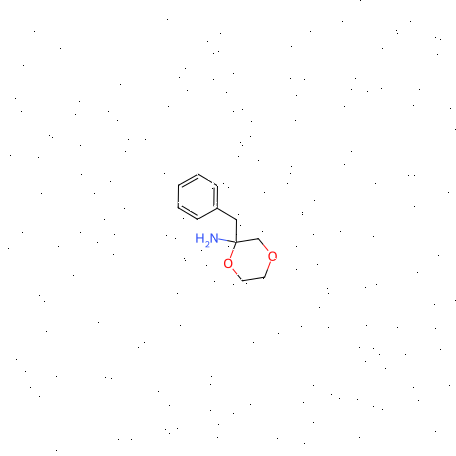 NC1(Cc2ccccc2)COCCO1